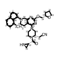 Cc1cccc2cccc(N3CCc4c(nc(OC[C@@H]5CCCO5)nc4N4CCN(C(=O)[C@@H]5CN5)[C@@H](CC#N)C4)C3)c12